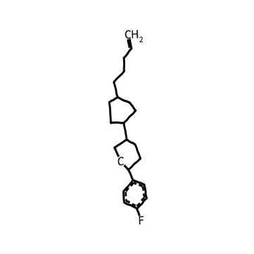 C=CCCCC1CCC(C2CCC(c3ccc(F)cc3)CC2)CC1